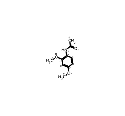 [CH2]C(=O)Nc1ccc(OC)cc1OC